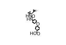 C[C@H]1CC1CC1(NC(=O)Nc2ccc(Oc3ccc(C(=O)O)cc3)cc2)CC1